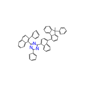 CC1(c2ccccc2)c2ccccc2-c2c(-c3ccc(-c4nc(-c5ccccc5)nc(-c5c(-c6ccccc6)ccc6ccccc56)n4)c4ccccc34)cccc21